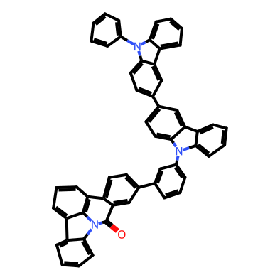 O=c1c2cc(-c3cccc(-n4c5ccccc5c5cc(-c6ccc7c(c6)c6ccccc6n7-c6ccccc6)ccc54)c3)ccc2c2cccc3c4ccccc4n1c23